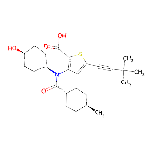 CC(C)(C)C#Cc1cc(N(C(=O)[C@H]2CC[C@H](C)CC2)[C@H]2CC[C@@H](O)CC2)c(C(=O)O)s1